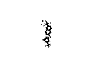 CC(C)(N)c1ccc2cc(Oc3cccc(C(F)(F)F)c3)ccc2c1